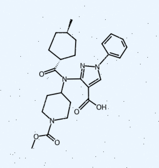 COC(=O)N1CCC(N(c2nn(-c3ccccc3)cc2C(=O)O)C(=O)[C@H]2CC[C@H](C)CC2)CC1